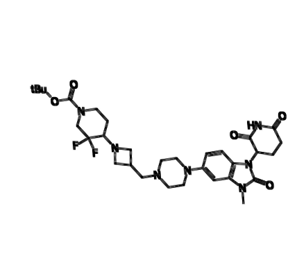 Cn1c(=O)n(C2CCC(=O)NC2=O)c2ccc(N3CCN(CC4CN(C5CCN(C(=O)OC(C)(C)C)CC5(F)F)C4)CC3)cc21